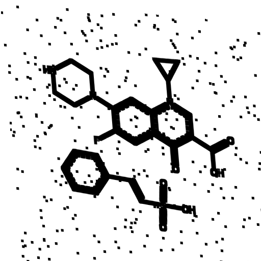 O=C(O)c1cn(C2CC2)c2cc(N3CCNCC3)c(F)cc2c1=O.O=S(=O)(O)C=Cc1ccccc1